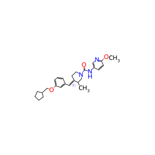 COc1ccc(NC(=O)N2CC/C(=C\c3cccc(OCC4CCCC4)c3)C(C)C2)cn1